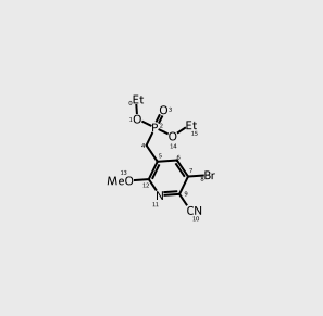 CCOP(=O)(Cc1cc(Br)c(C#N)nc1OC)OCC